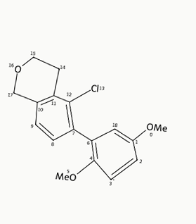 COc1c[c]c(OC)c(-c2ccc3c(c2Cl)CCOC3)c1